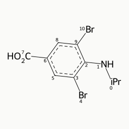 CC(C)Nc1c(Br)cc(C(=O)O)cc1Br